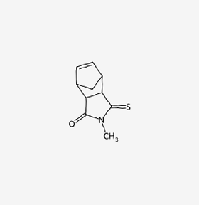 CN1C(=O)C2C3C=CC(C3)C2C1=S